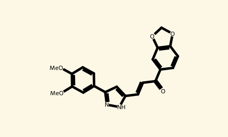 COc1ccc(-c2cc(C=CC(=O)c3ccc4c(c3)OCO4)[nH]n2)cc1OC